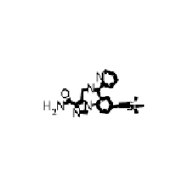 C[Si](C)(C)C#Cc1ccc2c(c1)C(c1ccccn1)=NCc1c(C(N)=O)ncn1-2